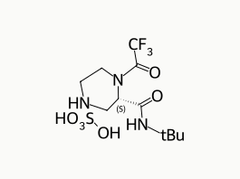 CC(C)(C)NC(=O)[C@@H]1CNCCN1C(=O)C(F)(F)F.O=S(=O)(O)O